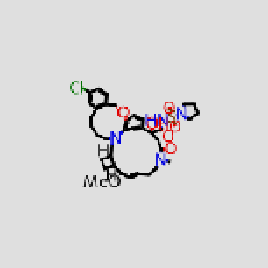 CO[C@H]1/C=C/CCN(C)C(=O)CC(O)(C(=O)NS(=O)(=O)N2CCCC2)c2ccc3c(c2)N(CCCCc2cc(Cl)ccc2CO3)C[C@@H]2CC[C@H]21